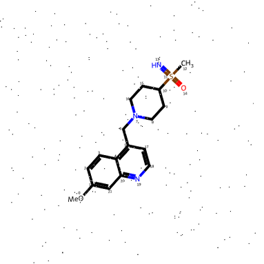 COc1ccc2c(CN3CCC(S(C)(=N)=O)CC3)ccnc2c1